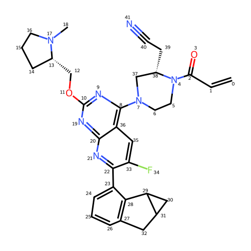 C=CC(=O)N1CCN(c2nc(OC[C@@H]3CCCN3C)nc3nc(-c4cccc5c4C4CC4C5)c(F)cc23)C[C@@H]1CC#N